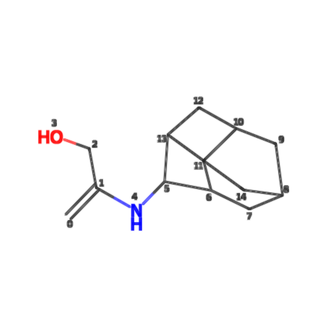 C=C(CO)NC1C2CC3CC(C2)CC1C3